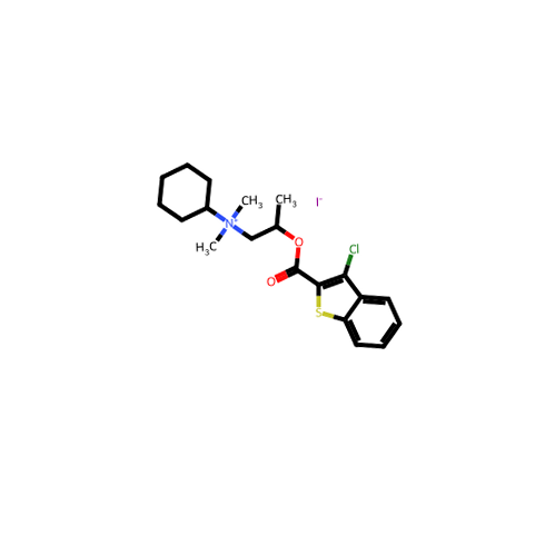 CC(C[N+](C)(C)C1CCCCC1)OC(=O)c1sc2ccccc2c1Cl.[I-]